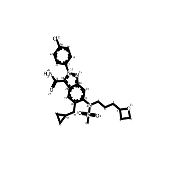 CS(=O)(=O)N(CCCC1CCO1)c1cc2nn(-c3ccc(Cl)cc3)c(C(N)=O)c2cc1CC1CC1